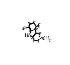 CN1CCc2[nH]c3c(F)ccc(F)c3c2C1